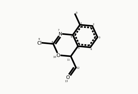 Cc1cccc2c1N=C(Cl)OC2C=O